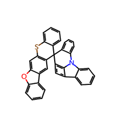 c1ccc2c(c1)Sc1cc3oc4ccccc4c3cc1C21c2ccccc2-n2c3ccccc3c3cccc1c32